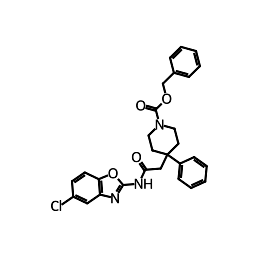 O=C(CC1(c2ccccc2)CCN(C(=O)OCc2ccccc2)CC1)Nc1nc2cc(Cl)ccc2o1